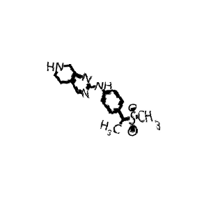 CC(c1ccc(Nc2ncc3c(n2)CNCC3)cc1)S(C)(=O)=O